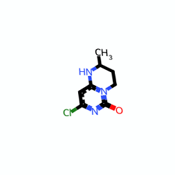 CC1CCn2c(cc(Cl)nc2=O)N1